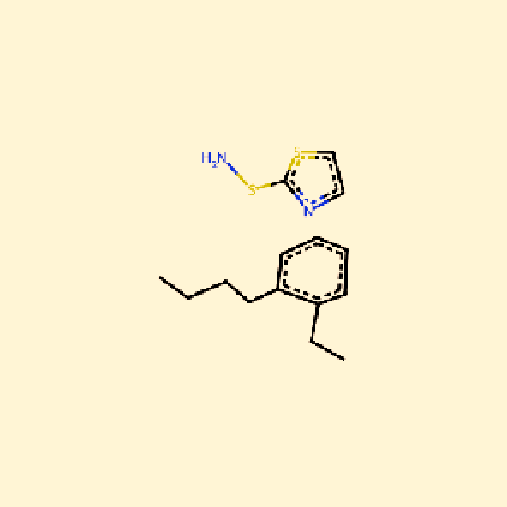 CCCCc1ccccc1CC.NSc1nccs1